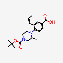 C/C=C\c1cc(C(=O)O)ccc1N1CCN(C(=O)OC(C)(C)C)CC1C